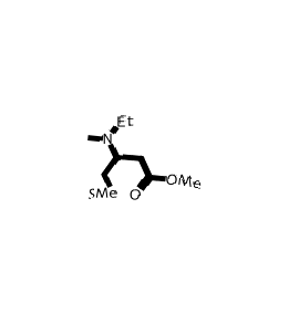 CCN(C)C(CSC)CC(=O)OC